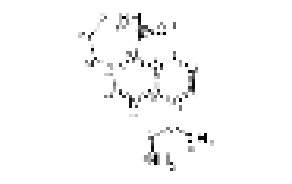 CC(CN)c1cccc2c3c(cnc12)CCCNC3=O